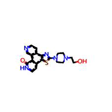 O=c1[nH]ccc2c3sc(N4CCN(CCO)CC4)nc3c3ccncc3c12